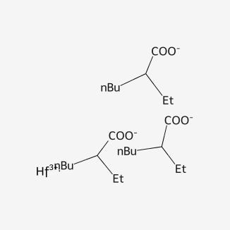 CCCCC(CC)C(=O)[O-].CCCCC(CC)C(=O)[O-].CCCCC(CC)C(=O)[O-].[Hf+3]